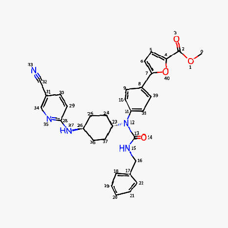 COC(=O)c1ccc(-c2ccc(N(C(=O)NCc3ccccc3)[C@H]3CC[C@H](Nc4ccc(C#N)cn4)CC3)cc2)o1